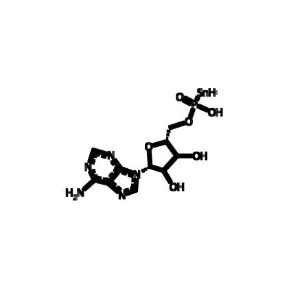 Nc1ncnc2c1ncn2[C@@H]1O[C@H](CO[P](=O)(O)[SnH])C(O)C1O